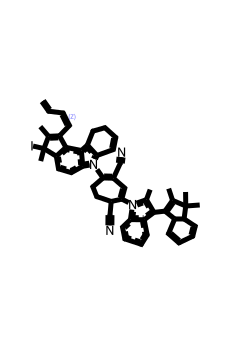 C=C/C=C\C1=C(C)C(C)(I)c2ccc3c(c4c(n3C3=C(C#N)C=C(n5c(C)c(C6=C(C)C(C)(C)C7C=CC=CC67)c6ccccc65)C(C#N)CC3)C=CCC4)c21